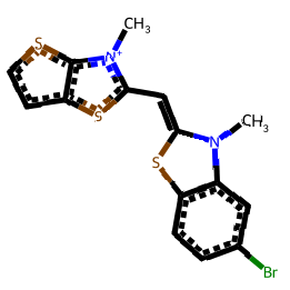 CN1/C(=C/c2sc3ccsc3[n+]2C)Sc2ccc(Br)cc21